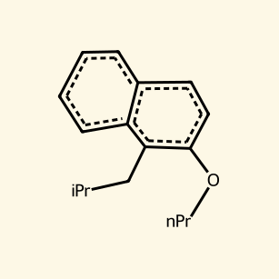 CCCOc1ccc2ccccc2c1CC(C)C